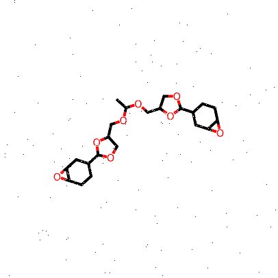 CC(OCC1COC(C2CCC3OC3C2)O1)OCC1COC(C2CCC3OC3C2)O1